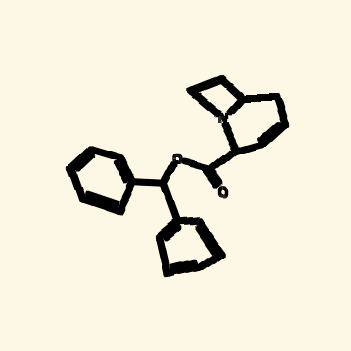 O=C(OC(c1ccccc1)c1ccccc1)C1C=CCC2CCN21